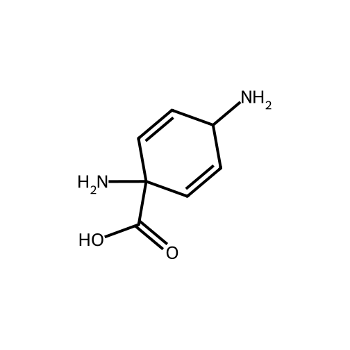 NC1C=CC(N)(C(=O)O)C=C1